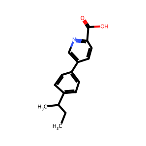 CCC(C)c1ccc(-c2ccc(C(=O)O)nc2)cc1